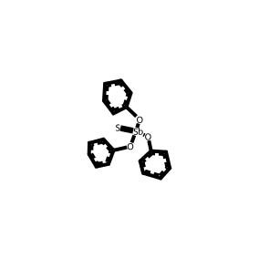 [S]=[Sb]([O]c1ccccc1)([O]c1ccccc1)[O]c1ccccc1